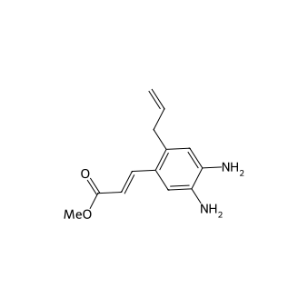 C=CCc1cc(N)c(N)cc1C=CC(=O)OC